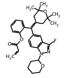 C=CC(=O)Oc1ccccc1C(=C1CC(C)(C)OC(C)(C)C1)c1ccc2c(c1)c(F)nn2C1CCCCO1